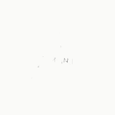 Cl.N.c1ccc2c(c1)C1CCC21